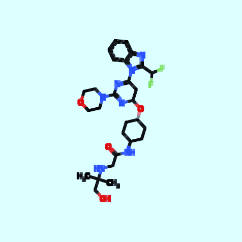 CC(C)(CO)NCC(=O)N[C@H]1CC[C@H](OC2CC(n3c(C(F)F)nc4ccccc43)=NC(N3CCOCC3)=N2)CC1